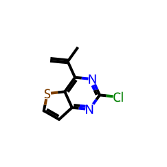 C=C(C)c1nc(Cl)nc2ccsc12